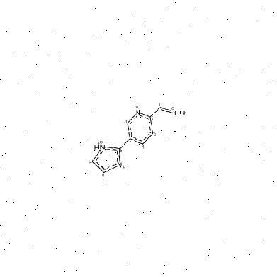 [CH]=Cc1ccc(-c2ncc[nH]2)cn1